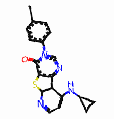 Cc1ccc(-n2cnc3c(c2=O)SC2N=CC=C(NC4CC4)C32)cc1